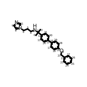 CC(C)(NCCCn1ccnc1)c1ccc(-c2ccc(OCc3ccccc3)cc2)cc1